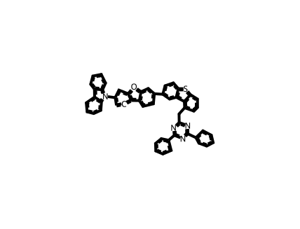 c1ccc(-c2nc(Cc3cccc4sc5ccc(-c6ccc7c(c6)oc6cc(-n8c9ccccc9c9ccccc98)ccc67)cc5c34)nc(-c3ccccc3)n2)cc1